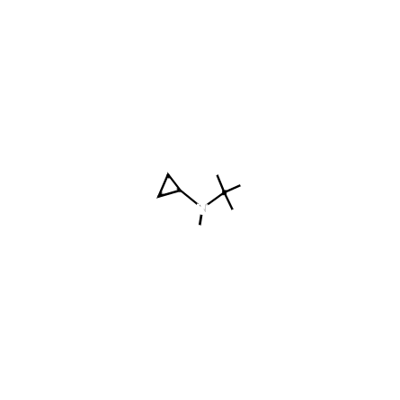 CN(C1CC1)C(C)(C)C